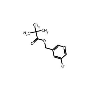 CC(C)(C)C(=O)OCc1cncc(Br)c1